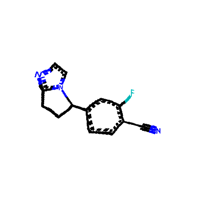 N#Cc1ccc(C2CCc3nccn32)cc1F